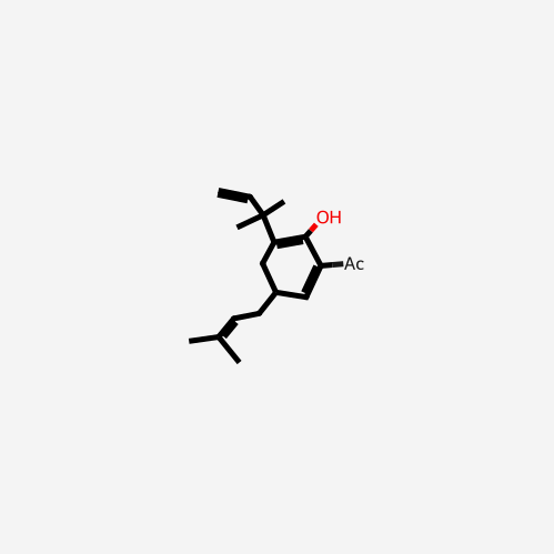 C=CC(C)(C)C1=C(O)C(C(C)=O)=CC(CC=C(C)C)C1